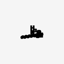 CCCCCCCCCCOC(=O)N(C)C.N